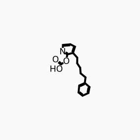 O=C(O)Oc1ncccc1CCCCCc1ccccc1